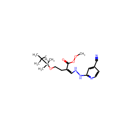 COOC(=O)C(=CNNc1cc(C#N)ccn1)CCO[Si](C)(C)C(C)(C)C